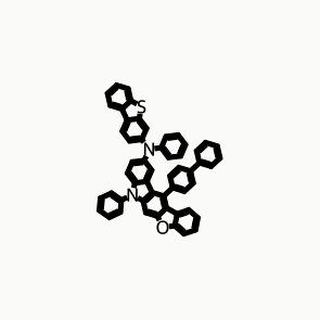 c1ccc(-c2ccc(-c3c4c(cc5c3c3cc(N(c6ccccc6)c6ccc7c(c6)sc6ccccc67)ccc3n5-c3ccccc3)oc3ccccc34)cc2)cc1